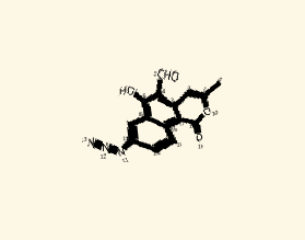 CC1Cc2c(C=O)c(O)c3cc(N=[N+]=[N-])ccc3c2C(=O)O1